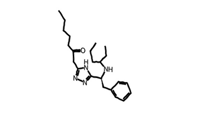 CCCCCC(=O)Cc1nnc([C@H](Cc2ccccc2)NC(CC)CCC)[nH]1